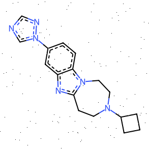 c1ncn(-c2ccc3c(c2)nc2n3CCN(C3CCC3)CC2)n1